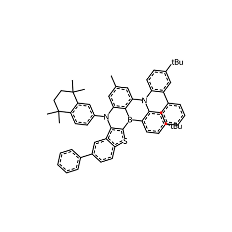 Cc1cc2c3c(c1)N(c1ccc4c(c1)C(C)(C)CCC4(C)C)c1c(sc4ccc(-c5ccccc5)cc14)B3c1ccc(C(C)(C)C)cc1N2c1ccc(C(C)(C)C)cc1-c1ccccc1